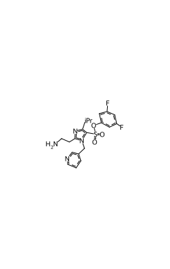 CC(C)c1nc(CCN)n(Cc2cccnc2)c1S(=O)(=O)Oc1cc(F)cc(F)c1